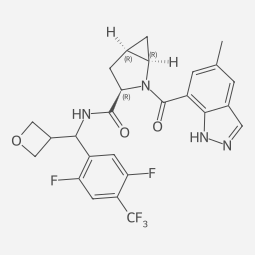 Cc1cc(C(=O)N2[C@@H](C(=O)NC(c3cc(F)c(C(F)(F)F)cc3F)C3COC3)C[C@H]3C[C@H]32)c2[nH]ncc2c1